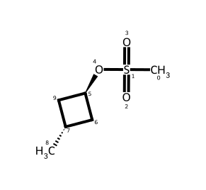 CS(=O)(=O)O[C@H]1C[C@H](C)C1